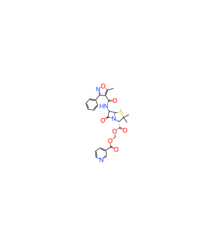 Cc1onc(-c2ccccc2)c1C(=O)NC1C(=O)N2C1SC(C)(C)[C@@H]2C(=O)OCOC(=O)c1cccnc1